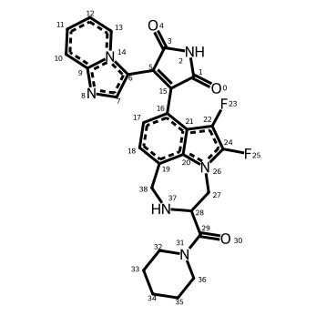 O=C1NC(=O)C(c2cnc3ccccn23)=C1c1ccc2c3c1c(F)c(F)n3CC(C(=O)N1CCCCC1)NC2